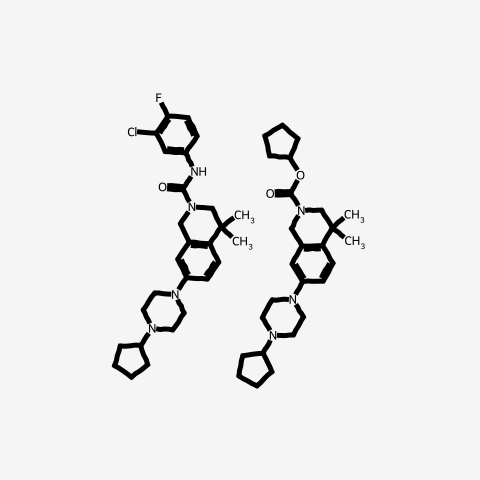 CC1(C)CN(C(=O)Nc2ccc(F)c(Cl)c2)Cc2cc(N3CCN(C4CCCC4)CC3)ccc21.CC1(C)CN(C(=O)OC2CCCC2)Cc2cc(N3CCN(C4CCCC4)CC3)ccc21